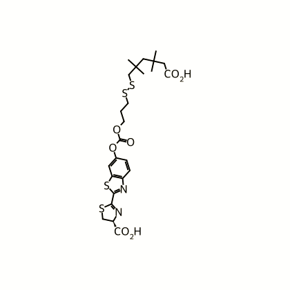 CC(C)(CSSCCCOC(=O)Oc1ccc2nc(C3=N[C@@H](C(=O)O)CS3)sc2c1)CC(C)(C)CC(=O)O